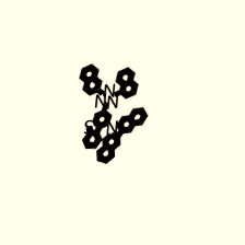 c1ccc2cc(-c3nc(-c4cc(-n5c6cc7ccccc7cc6c6cc7ccccc7cc65)c5c(c4)sc4ccccc45)nc(-c4cccc5ccccc45)n3)ccc2c1